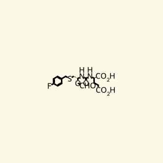 O=CO[C@H](CSCc1ccc(F)cc1)NC(=O)N[C@@H](CCC(=O)O)C(=O)O